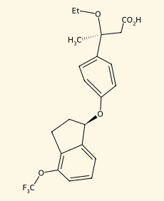 CCO[C@@](C)(CC(=O)O)c1ccc(O[C@@H]2CCc3c(OC(F)(F)F)cccc32)cc1